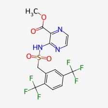 COC(=O)c1nccnc1NS(=O)(=O)Cc1cc(C(F)(F)F)ccc1C(F)(F)F